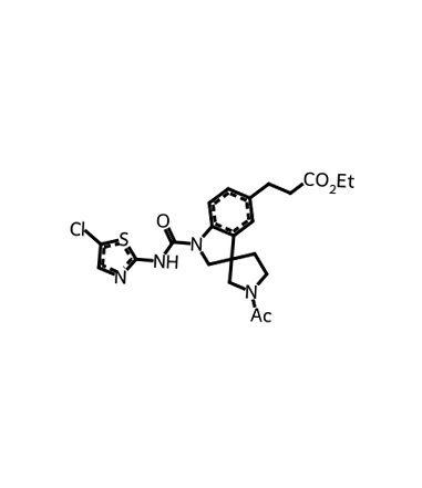 CCOC(=O)CCc1ccc2c(c1)C1(CCN(C(C)=O)C1)CN2C(=O)Nc1ncc(Cl)s1